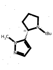 Cn1nccc1[C@@H]1CCCN1C(C)(C)C